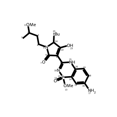 COC(C)CCN1C(=O)C(C2=NP(=O)(OC)c3cc(N)ccc3N2)=C(O)C1C(C)(C)C